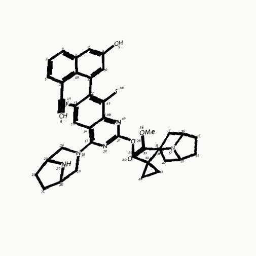 C#Cc1cccc2cc(O)cc(-c3c(F)cc4c(N5CC6CCC(C5)N6)nc(OCC5(CN6C7CCC6CC(C(=O)OC)C7)CC5)nc4c3F)c12